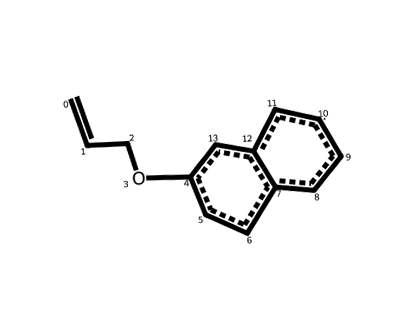 C=CCOc1ccc2cc[c]cc2c1